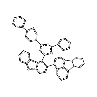 C1=CC2c3cccc4c(-c5ccc6oc7ccccc7c6c5-c5nc(-c6ccccc6)nc(-c6ccc(-c7ccccc7)cc6)n5)ccc(c34)C2C=C1